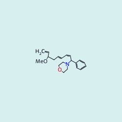 C=CC(C/C=C/C=C\C(c1ccccc1)N1CCOCC1)OC